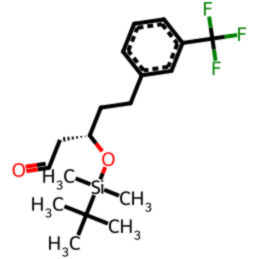 CC(C)(C)[Si](C)(C)O[C@H](CC=O)CCc1cccc(C(F)(F)F)c1